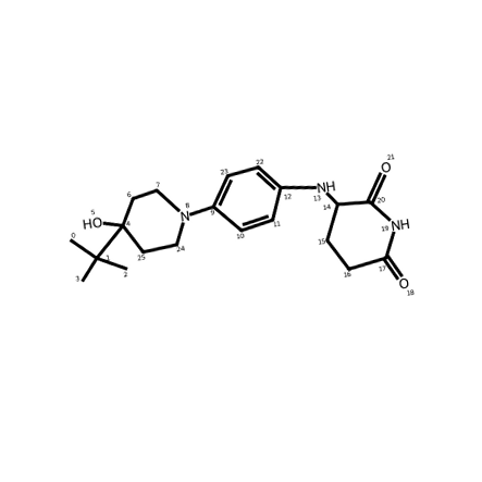 CC(C)(C)C1(O)CCN(c2ccc(NC3CCC(=O)NC3=O)cc2)CC1